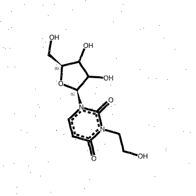 O=c1ccn([C@H]2O[C@@H](CO)C(O)C2O)c(=O)n1CCO